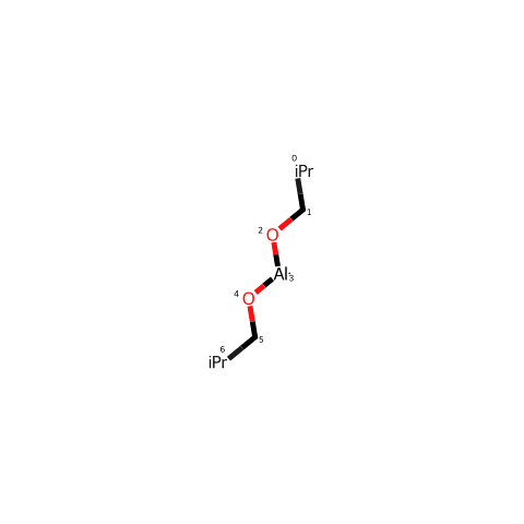 CC(C)C[O][Al][O]CC(C)C